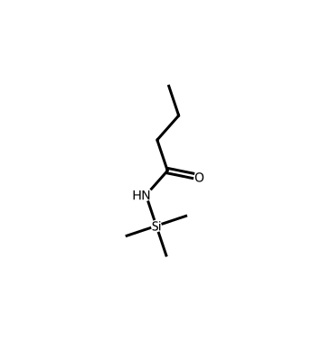 CCCC(=O)N[Si](C)(C)C